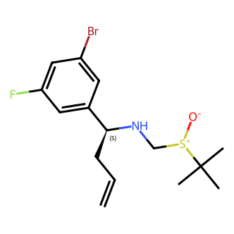 C=CC[C@H](NC[S+]([O-])C(C)(C)C)c1cc(F)cc(Br)c1